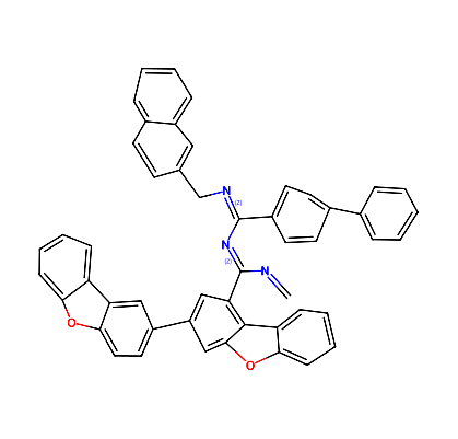 C=N/C(=N\C(=N/Cc1ccc2ccccc2c1)c1ccc(-c2ccccc2)cc1)c1cc(-c2ccc3oc4ccccc4c3c2)cc2oc3ccccc3c12